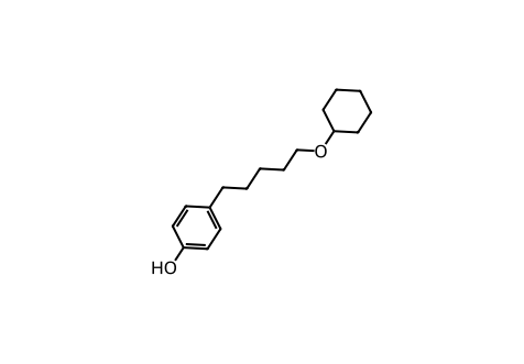 Oc1ccc(CCCCCOC2CCCCC2)cc1